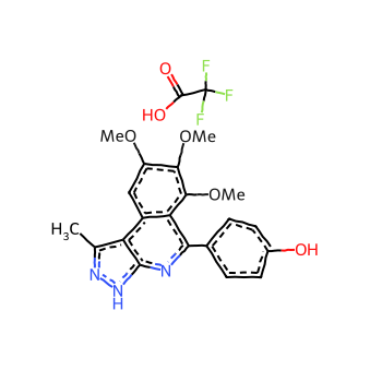 COc1cc2c(c(-c3ccc(O)cc3)nc3[nH]nc(C)c32)c(OC)c1OC.O=C(O)C(F)(F)F